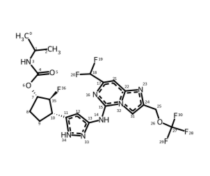 CC(C)NC(=O)O[C@H]1CC[C@@H](c2cc(Nc3nc(C(F)F)cc4nc(COC(F)(F)F)cn34)n[nH]2)[C@@H]1F